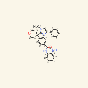 Cn1cc(-c2ccccc2)nc1C1(c2ccc(C(=O)Nc3ccccc3N)cc2)CCOCC1